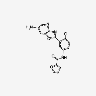 Nc1cnc2nc(-c3cc(NC(=O)c4ccco4)ccc3Cl)oc2c1